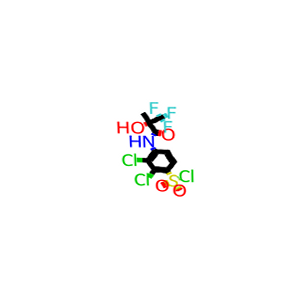 CC(O)(C(=O)Nc1ccc(S(=O)(=O)Cl)c(Cl)c1Cl)C(F)(F)F